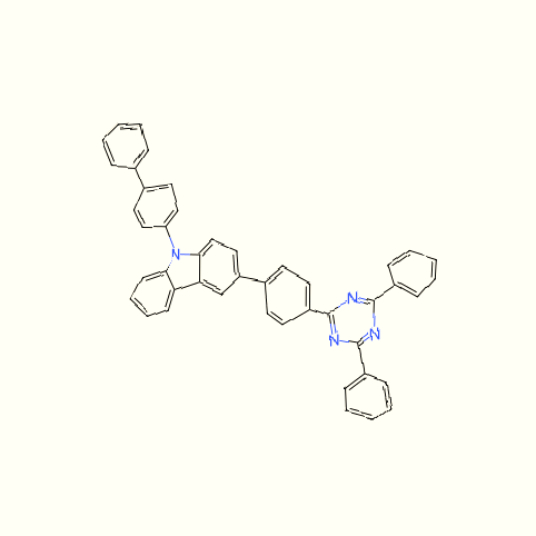 c1ccc(-c2ccc(-n3c4ccccc4c4cc(-c5ccc(-c6nc(-c7ccccc7)nc(-c7ccccc7)n6)cc5)ccc43)cc2)cc1